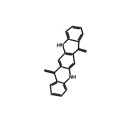 C=C1c2ccccc2Nc2cc3c(cc21)Nc1ccccc1C3=C